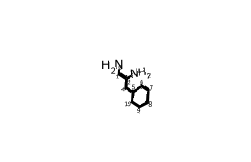 N/C=C(\N)CC1CCCCC1